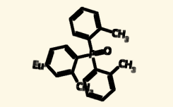 Cc1ccccc1P(=O)(c1ccccc1C)c1ccccc1C.[Eu]